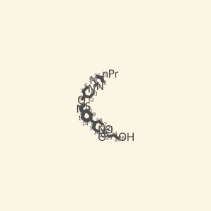 CCCc1cnc(N2CCC(Oc3nc4ccc(C5=CCN(S(=O)(=O)CCCO)CC5)cc4s3)CC2)nc1